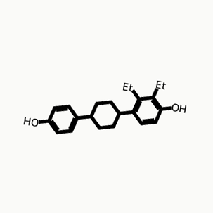 CCc1c(O)ccc(C2CCC(c3ccc(O)cc3)CC2)c1CC